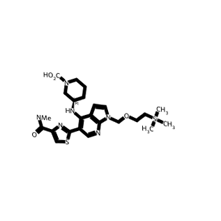 CNC(=O)c1csc(-c2cnc3c(ccn3COCC[Si](C)(C)C)c2N[C@@H]2CCCN(C(=O)O)C2)n1